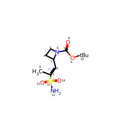 C/C(=C\C1CCN1C(=O)OC(C)(C)C)S(N)(=O)=O